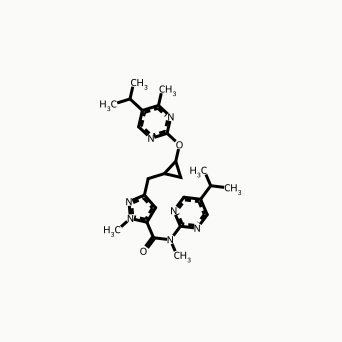 Cc1nc(OC2CC2Cc2cc(C(=O)N(C)c3ncc(C(C)C)cn3)n(C)n2)ncc1C(C)C